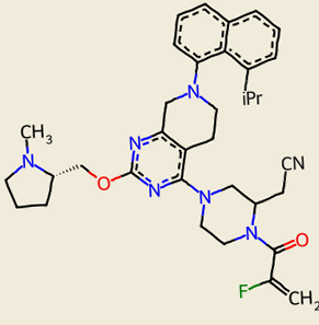 C=C(F)C(=O)N1CCN(c2nc(OC[C@@H]3CCCN3C)nc3c2CCN(c2cccc4cccc(C(C)C)c24)C3)CC1CC#N